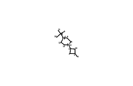 CC1CC(N2CCN(C(C)(C)C)CC2)C1